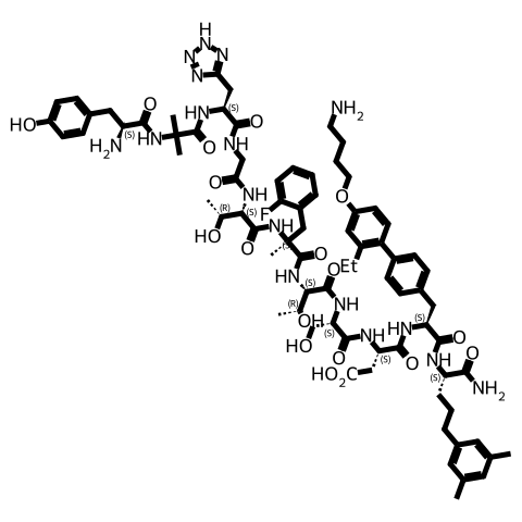 CCc1cc(OCCCCN)ccc1-c1ccc(C[C@H](NC(=O)[C@H](CC(=O)O)NC(=O)[C@H](CO)NC(=O)[C@@H](NC(=O)[C@](C)(Cc2ccccc2F)NC(=O)[C@@H](NC(=O)CNC(=O)[C@H](Cc2nn[nH]n2)NC(=O)C(C)(C)NC(=O)[C@@H](N)Cc2ccc(O)cc2)[C@@H](C)O)[C@@H](C)O)C(=O)N[C@@H](CCCc2cc(C)cc(C)c2)C(N)=O)cc1